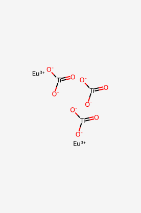 [Eu+3].[Eu+3].[O]=[Ti]([O-])[O-].[O]=[Ti]([O-])[O-].[O]=[Ti]([O-])[O-]